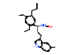 CCCc1cc(C(CCc2c[nH]c3ccc(C)cc23)NC=O)c(CC)cc1CC